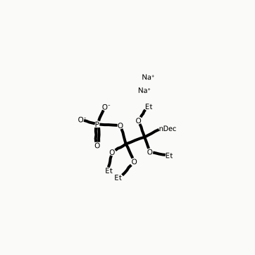 CCCCCCCCCCC(OCC)(OCC)C(OCC)(OCC)OP(=O)([O-])[O-].[Na+].[Na+]